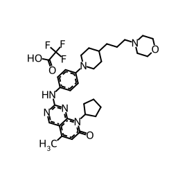 Cc1cc(=O)n(C2CCCC2)c2nc(Nc3ccc(N4CCC(CCCN5CCOCC5)CC4)cc3)ncc12.O=C(O)C(F)(F)F